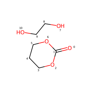 O=C1OCCCO1.OCCO